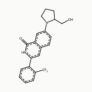 O=c1[nH]c(-c2ccccc2C(F)(F)F)cc2ccc(N3CCCC3CO)cc12